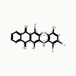 O=C1c2ccccc2C(=O)c2c(F)c(Nc3c(F)c(F)cc(F)c3F)c(F)c(F)c21